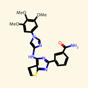 COc1cc(-n2cnc(Nc3nc(-c4cccc(C(N)=O)c4)nc4sccc34)c2)cc(OC)c1OC